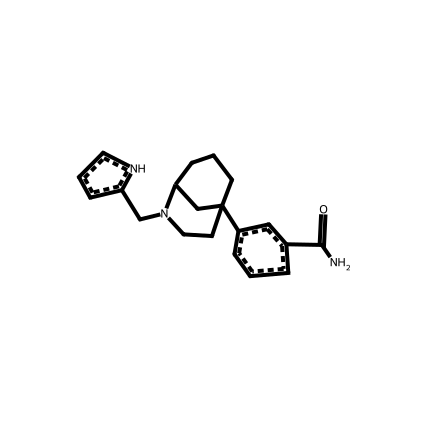 NC(=O)c1cccc(C23CCCC(C2)N(Cc2ccc[nH]2)CC3)c1